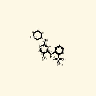 NS(=O)(=O)c1ccccc1Nc1nc(N[C@H]2CCCNC2)ncc1C(F)(F)F